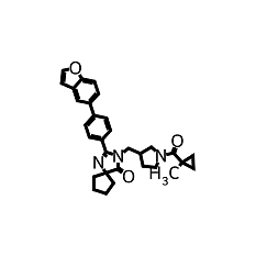 CC1(C(=O)N2CCC(CN3C(=O)C4(CCCC4)N=C3c3ccc(-c4ccc5occc5c4)cc3)C2)CC1